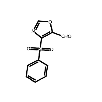 O=Cc1ocnc1S(=O)(=O)c1ccccc1